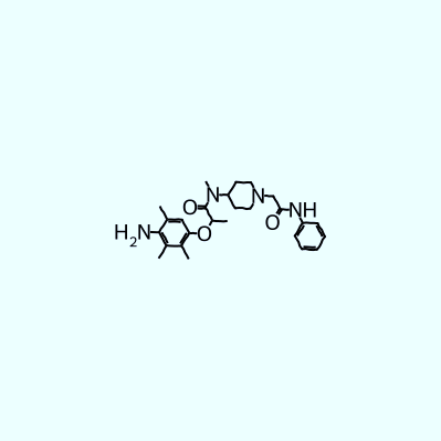 Cc1cc(OC(C)C(=O)N(C)C2CCN(CC(=O)Nc3ccccc3)CC2)c(C)c(C)c1N